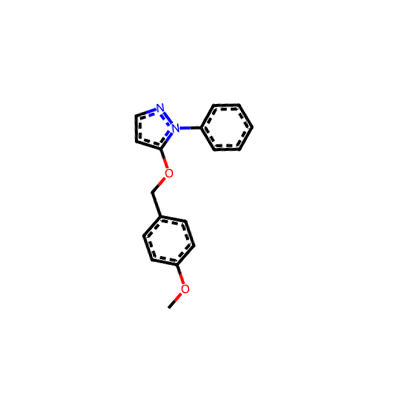 COc1ccc(COc2ccnn2-c2ccccc2)cc1